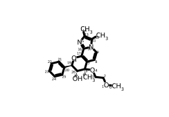 COCCO[C@]1(C)c2ccn3c(C)c(C)nc3c2O[C@H](c2ccccc2)[C@H]1O